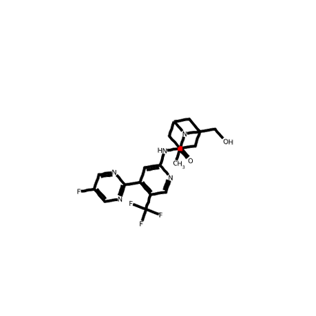 CC1CC2CC(CO)(C1)N2C(=O)Nc1cc(-c2ncc(F)cn2)c(C(F)(F)F)cn1